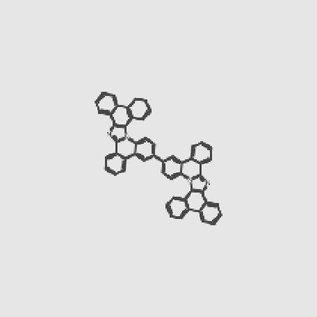 C1=Cc2c(c3ccccc3c3nc4c5ccccc5c5cc(-c6ccc7c(c6)c6ccccc6c6nc8c9ccccc9c9ccccc9c8n76)ccc5n4c23)CC1